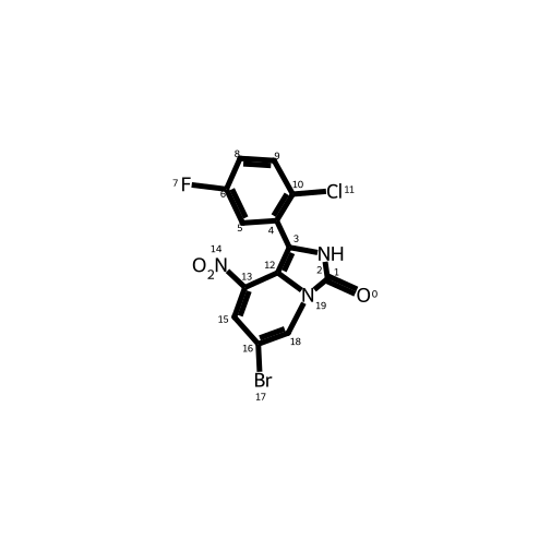 O=c1[nH]c(-c2cc(F)ccc2Cl)c2c([N+](=O)[O-])cc(Br)cn12